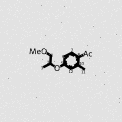 COCC(C)Oc1ccc(C(C)=O)c(C)c1